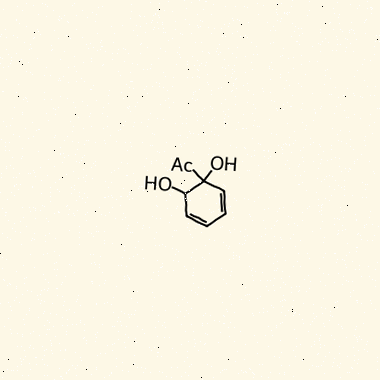 CC(=O)C1(O)C=CC=CC1O